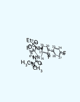 CCS(=O)(=O)N[C@H]1[C@@H](F)CN(C(=O)N(C)C)[C@H]1Cc1cccc(-c2ccc(F)cc2)c1F